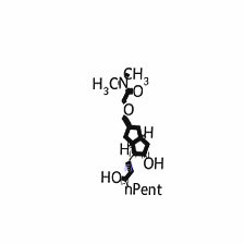 CCCCC[C@H](O)/C=C/[C@@H]1[C@H]2CC(=COCC(=O)N(C)C)C[C@H]2C[C@H]1O